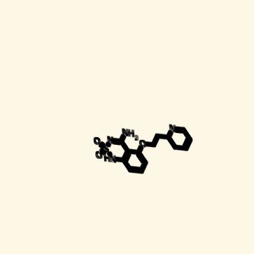 NC1=NS(=O)(=O)Nc2cccc(OCCC3CC=CC=N3)c21